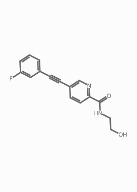 O=C(NCCO)c1ccc(C#Cc2cccc(F)c2)cn1